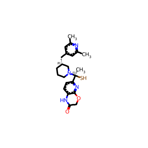 Cc1cc(C[C@H]2CCCN([C@@](C)(S)c3ccc4c(n3)OCC(=O)N4)C2)cc(C)n1